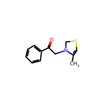 CC1=CSCN1CC(=O)c1ccccc1